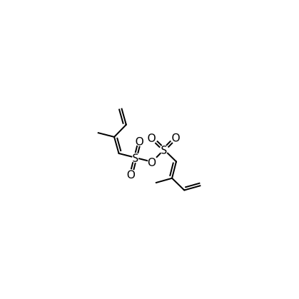 C=CC(C)=CS(=O)(=O)OS(=O)(=O)C=C(C)C=C